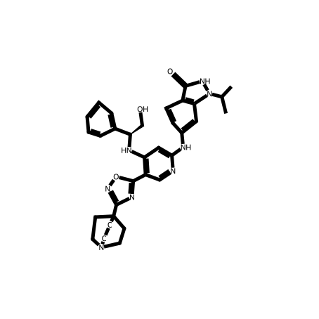 CC(C)n1[nH]c(=O)c2ccc(Nc3cc(N[C@H](CO)c4ccccc4)c(-c4nc(C56CCN(CC5)CC6)no4)cn3)cc21